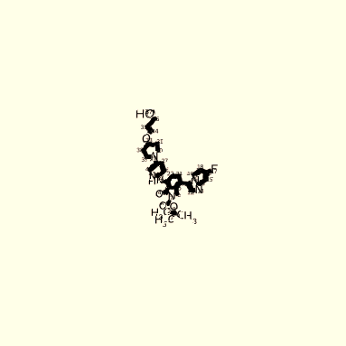 CC(C)(C)OC(=O)N1Cc2c(-c3cnc4cc(F)ccn34)ccc(Nc3ccc(N4CCC(OCCCO)CC4)cn3)c2C1=O